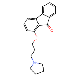 O=C1c2ccccc2-c2cccc(OCCCN3CCCC3)c21